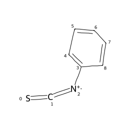 S=C=[N+]c1ccccc1